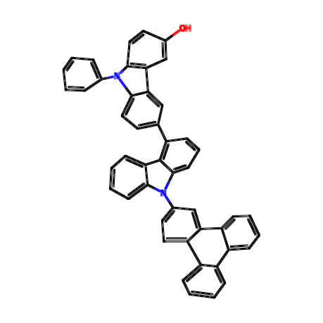 Oc1ccc2c(c1)c1cc(-c3cccc4c3c3ccccc3n4-c3ccc4c5ccccc5c5ccccc5c4c3)ccc1n2-c1ccccc1